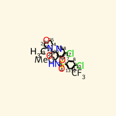 COC(NS(=O)(=O)c1ccc(Cl)c(C(F)(F)F)c1)c1cc(Cl)cnc1C(=O)N1CCOCC1C